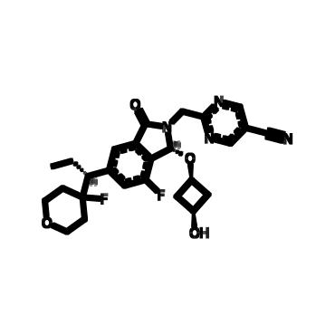 CC[C@H](c1cc(F)c2c(c1)C(=O)N(Cc1ncc(C#N)cn1)[C@@H]2O[C@H]1C[C@@H](O)C1)C1(F)CCOCC1